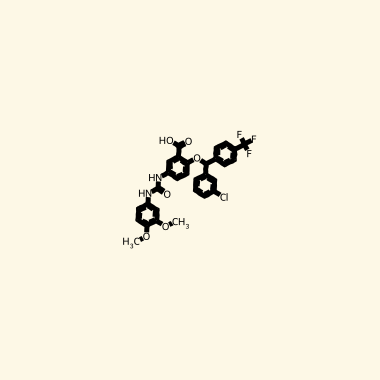 COc1ccc(NC(=O)Nc2ccc(OC(c3ccc(C(F)(F)F)cc3)c3cccc(Cl)c3)c(C(=O)O)c2)cc1OC